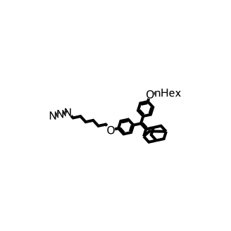 [CH2]CCCCCOc1ccc(C(=C2C3CC4CC(C3)CC2C4)c2ccc(OCCCCCCN=[N+]=[N-])cc2)cc1